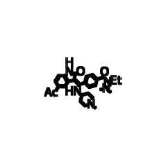 CCN(C(=O)c1ccc(C(NC2CCN(C)CC2)=C2C(=O)Nc3ccc(C(C)=O)cc32)cc1)N(C)C